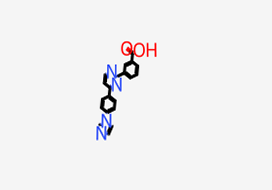 O=C(O)c1cccc(-c2nccc(-c3ccc(-n4ccnc4)cc3)n2)c1